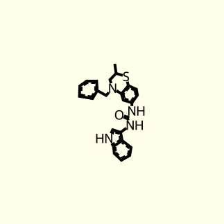 CC1CN(Cc2ccccc2)c2cc(NC(=O)Nc3c[nH]c4ccccc34)ccc2S1